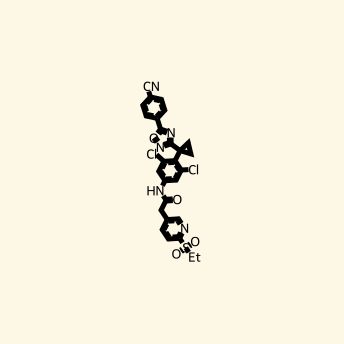 CCS(=O)(=O)c1ccc(CC(=O)Nc2cc(Cl)c(C3(c4noc(-c5ccc(C#N)cc5)n4)CC3)c(Cl)c2)cn1